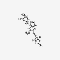 CN1C[C@@H]2[C@H](C#Cc3cc4ncnc(Nc5ccc(O)c(Cl)c5)c4cc3N)[C@@H]2C1